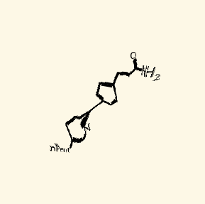 CCCCCc1ccc(-c2ccc(/C=C/C(N)=O)cc2)nc1